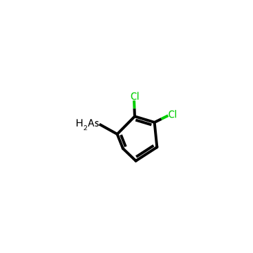 Clc1cccc([AsH2])c1Cl